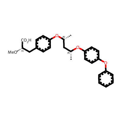 CO[C@@H](Cc1ccc(O[C@H](C)C[C@@H](C)Oc2ccc(Oc3ccccc3)cc2)cc1)C(=O)O